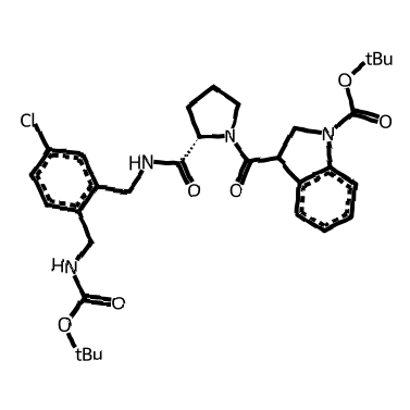 CC(C)(C)OC(=O)NCc1ccc(Cl)cc1CNC(=O)[C@@H]1CCCN1C(=O)C1CN(C(=O)OC(C)(C)C)c2ccccc21